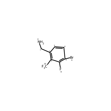 NCc1ccc(Br)c(F)c1C(F)(F)F